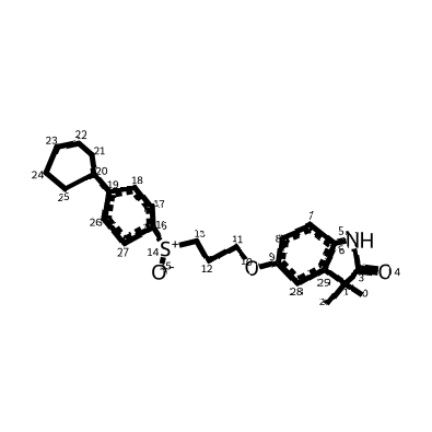 CC1(C)C(=O)Nc2ccc(OCCC[S+]([O-])c3ccc(C4CCCCC4)cc3)cc21